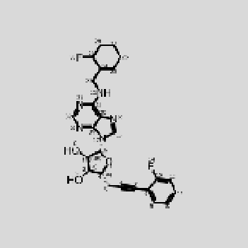 O[C@@H]1[C@H](O)[C@@H](CC#Cc2ccccc2F)O[C@H]1n1cnc2c(NCC3CCCCC3F)ncnc21